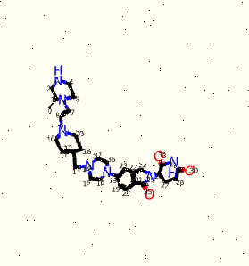 C[C@H]1CNCCN1CCN1CCC(CN2CCN(c3ccc4c(c3)CN(C3CCC(=O)NC3=O)C4=O)CC2)CC1